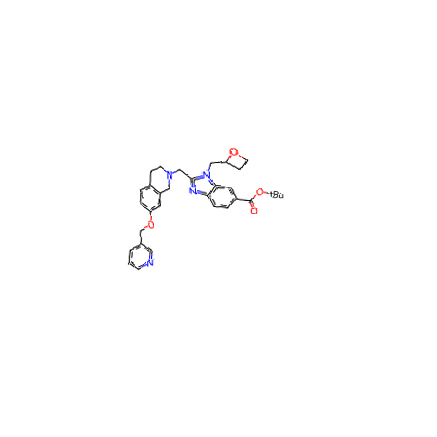 CC(C)(C)OC(=O)c1ccc2nc(CN3CCc4ccc(OCc5cccnc5)cc4C3)n(CC3CCO3)c2c1